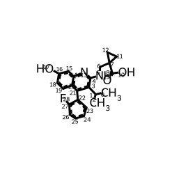 CC(C)c1c(NCC2(C(=O)O)CC2)nc2cc(O)ccc2c1-c1ccccc1F